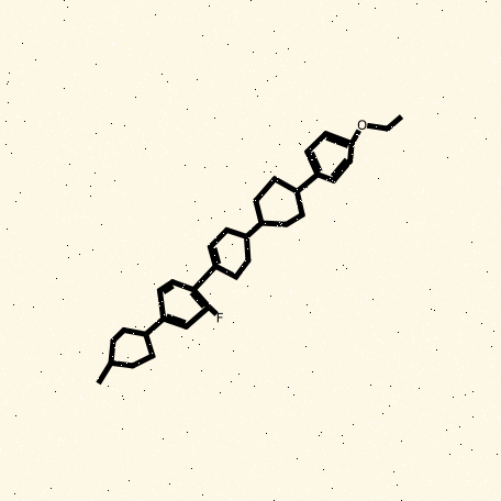 CCOc1ccc(C2CCC(C3CC=C(c4ccc(C5CCC(C)CC5)cc4F)CC3)CC2)cc1